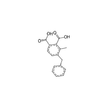 Cc1c(Cc2ccccc2)ccc(C(=O)O)c1C(=O)O